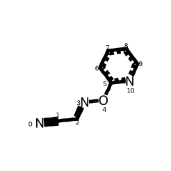 N#CC=NOc1ccccn1